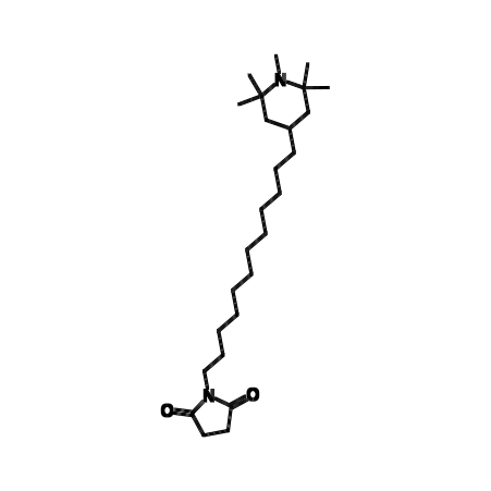 CN1C(C)(C)CC(CCCCCCCCCCCCN2C(=O)CCC2=O)CC1(C)C